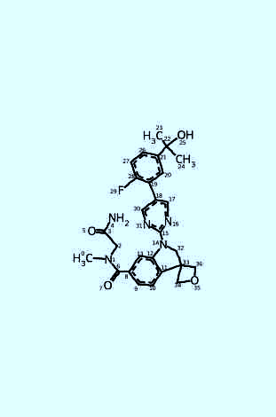 CN(CC(N)=O)C(=O)c1ccc2c(c1)N(c1ncc(-c3cc(C(C)(C)O)ccc3F)cn1)CC21COC1